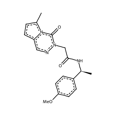 COc1ccc([C@H](C)NC(=O)Cn2ncc3ccc(C)n3c2=O)cc1